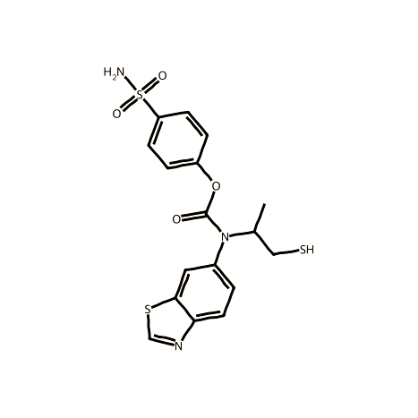 CC(CS)N(C(=O)Oc1ccc(S(N)(=O)=O)cc1)c1ccc2ncsc2c1